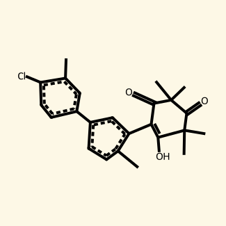 Cc1cc(-c2ccc(C)c(C3=C(O)C(C)(C)C(=O)C(C)(C)C3=O)c2)ccc1Cl